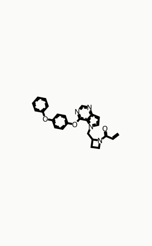 C=CC(=O)N1CCC1Cn1ccc2ncnc(Oc3ccc(Oc4ccccc4)cc3)c21